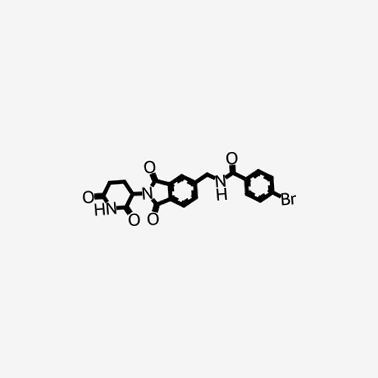 O=C1CCC(N2C(=O)c3ccc(CNC(=O)c4ccc(Br)cc4)cc3C2=O)C(=O)N1